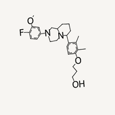 COc1cc(N2CCN3C(CCCC3c3ccc(OCCCO)c(C)c3C)C2)ccc1F